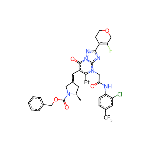 CCc1c(/C=C2\C[C@@H](C)N(C(=O)OCc3ccccc3)C2)c(=O)n2nc(C3=C(F)COCC3)nc2n1CC(=O)Nc1ccc(C(F)(F)F)cc1Cl